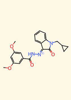 COc1cc(OC)cc(C(=O)N/N=C2/C(=O)N(CC3CC3)c3ccccc32)c1